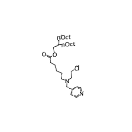 CCCCCCCCC(CCCCCCCC)COC(=O)CCCCCN(CCCl)Cc1ccncc1